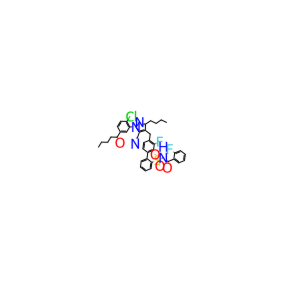 CCCCC(=O)c1ccc(Cl)c(-n2nc(CCCC)c(Cc3ccc(-c4ccccc4S(=O)(=O)NC(=O)c4ccccc4F)cc3F)c2C#N)c1